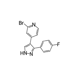 Fc1ccc(-c2n[nH]cc2-c2ccnc(Br)c2)cc1